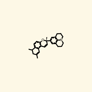 CC1=Cc2c(ccc3c2C=C[C@@](C)(c2cc4c5c(c2)CCCN5CCC4)O3)C(C)C1